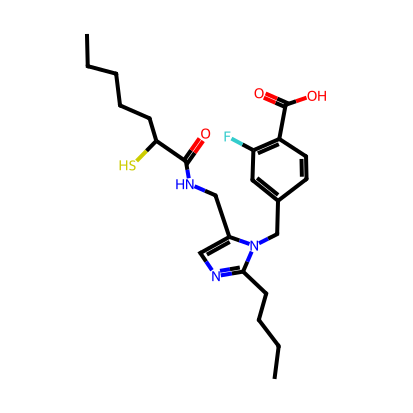 CCCCCC(S)C(=O)NCc1cnc(CCCC)n1Cc1ccc(C(=O)O)c(F)c1